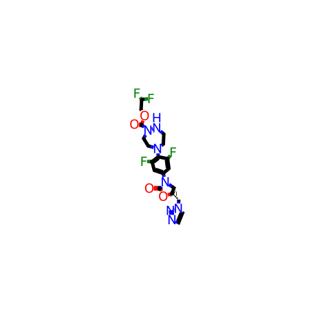 O=C(OCC(F)F)N1CCN(c2c(F)cc(N3C[C@H](Cn4ccnn4)OC3=O)cc2F)CCN1